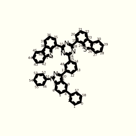 c1ccc(-c2ccc3c(c2)c(-c2cccc(-c4nc(-c5cccc6c5sc5ccccc56)nc(-c5cccc6c5sc5ccccc56)n4)c2)nn3-c2ccccc2)cc1